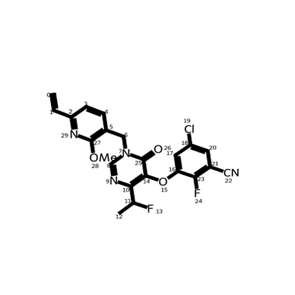 C=Cc1ccc(Cn2cnc(C(C)F)c(Oc3cc(Cl)cc(C#N)c3F)c2=O)c(OC)n1